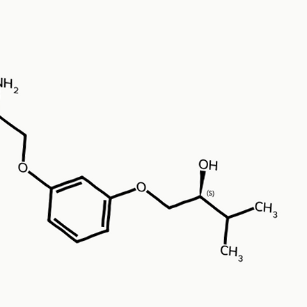 CC(C)[C@H](O)COc1cccc(OCCN)c1